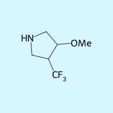 COC1CNCC1C(F)(F)F